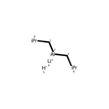 CC(C)[CH2][Al][CH2]C(C)C.[H-].[Li+]